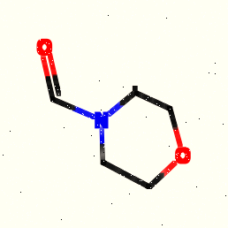 O=CN1[CH]COCC1